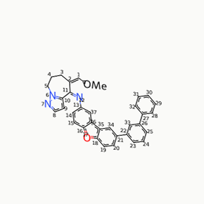 CO/C=C1/CCCn2nccc2/C1=N\c1ccc2oc3ccc(-c4cccc(-c5ccccc5)c4)cc3c2c1